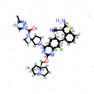 Cc1ncn(C(=O)N2CC[C@@]23CCN(c2nc(OC[C@@]45CCCN4C[C@H](F)C5)nc4c(F)c(-c5ccc(F)c6sc(N)c(C#N)c56)c(Cl)cc24)C3)n1